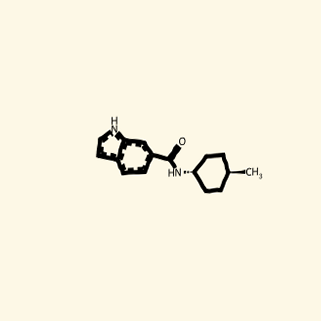 C[C@H]1CC[C@H](NC(=O)c2ccc3cc[nH]c3c2)CC1